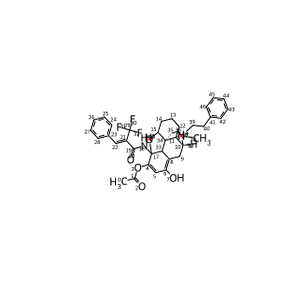 CC(=O)OC1=CC(O)=C2C[C@@H]3[C@@H]4CCC[C@@H]5OC1(NC(=O)C(=Cc1ccccc1)C(F)(F)F)C2[C@@]54CC[N+]3(C)CCc1ccccc1